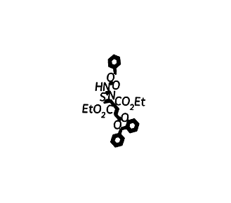 CCOC(=O)C(/C=C/C(=O)OC(c1ccccc1)c1ccccc1)(C(=O)OCC)c1csc(NC(=O)OCc2ccccc2)n1